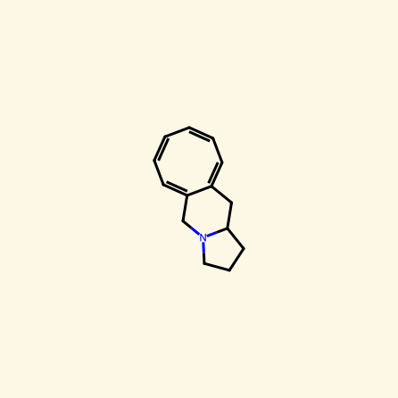 C1=C\C=C2\CC3CCCN3C\C2=C\C=C/1